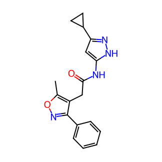 Cc1onc(-c2ccccc2)c1CC(=O)Nc1cc(C2CC2)n[nH]1